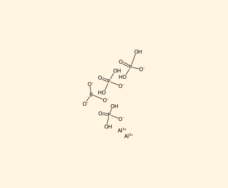 O=P([O-])(O)O.O=P([O-])(O)O.O=P([O-])(O)O.[Al+3].[Al+3].[O-]B([O-])[O-]